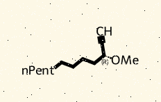 C#C[C@@H](CCCCCCCCC)OC